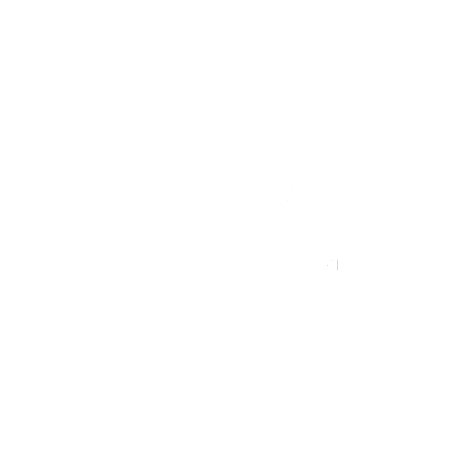 Cc1ccc(-c2ccc(Cl)cc2CC(=O)O)cc1